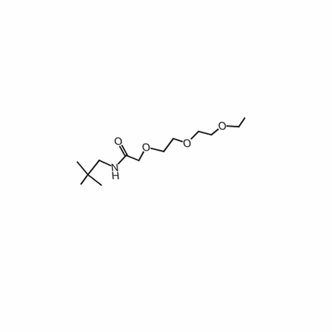 CCOCCOCCOCC(=O)NCC(C)(C)C